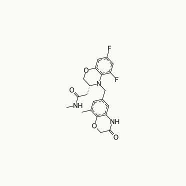 CNC(=O)C[C@@H]1COc2cc(F)cc(F)c2N1Cc1cc(C)c2c(c1)NC(=O)CO2